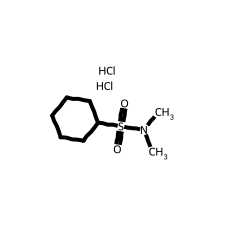 CN(C)S(=O)(=O)C1CCCCC1.Cl.Cl